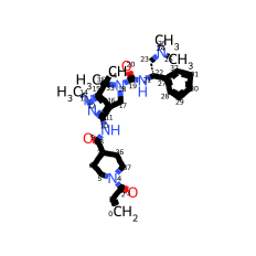 C=CC(=O)N1CCC(C(=O)Nc2nn(C)c3c2CN(C(=O)N[C@H](CN(C)C)c2ccccc2)C3(C)C)CC1